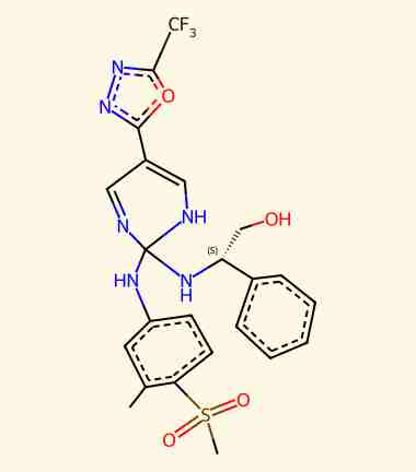 Cc1cc(NC2(N[C@H](CO)c3ccccc3)N=CC(c3nnc(C(F)(F)F)o3)=CN2)ccc1S(C)(=O)=O